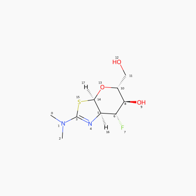 CN(C)C1=N[C@@H]2[C@@H](F)[C@H](O)[C@@H](CO)O[C@@H]2S1